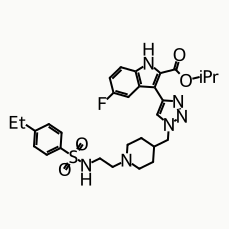 CCc1ccc(S(=O)(=O)NCCN2CCC(Cn3cc(-c4c(C(=O)OC(C)C)[nH]c5ccc(F)cc45)nn3)CC2)cc1